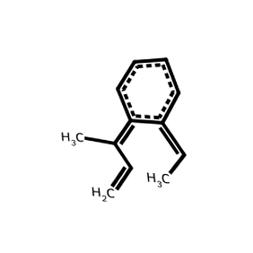 C=C/C(C)=c1/cccc/c1=C/C